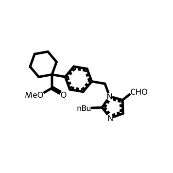 CCCCc1ncc(C=O)n1Cc1ccc(C2(C(=O)OC)CCCCC2)cc1